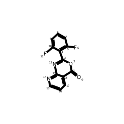 O=c1oc(-c2c(F)cccc2F)nc2ncccc12